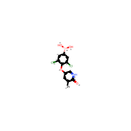 CC(C)c1cc(Oc2c(Cl)cc(B(O)O)cc2Cl)c[nH]c1=O